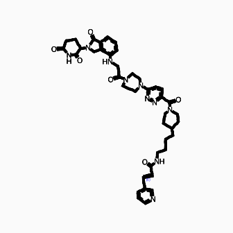 O=C(/C=C/c1cccnc1)NCCCCC1CCN(C(=O)c2ccc(N3CCN(C(=O)CNc4cccc5c4CN(C4CCC(=O)NC4=O)C5=O)CC3)nn2)CC1